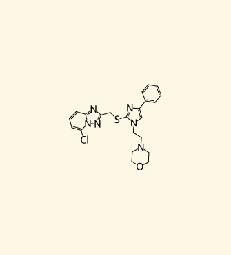 Clc1cccc2nc(CSc3nc(-c4ccccc4)cn3CCN3CCOCC3)nn12